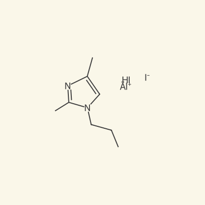 CCCn1cc(C)nc1C.I.[Al+].[I-]